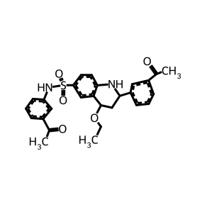 CCOC1CC(c2cccc(C(C)=O)c2)Nc2ccc(S(=O)(=O)Nc3cccc(C(C)=O)c3)cc21